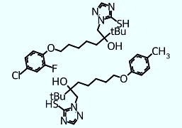 CC(C)(C)C(O)(CCCCCOc1ccc(Cl)cc1F)Cn1ncnc1S.Cc1ccc(OCCCCCC(O)(Cn2ncnc2S)C(C)(C)C)cc1